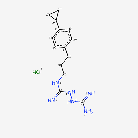 Cl.N=C(N)NNC(=N)NCCCc1ccc(C2CC2)cc1